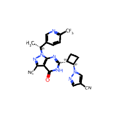 C[C@H](c1ccc(C(F)(F)F)nc1)n1nc(C#N)c2c(=O)[nH]c([C@@H]3CC[C@H]3n3cc(C#N)cn3)nc21